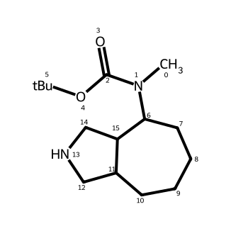 CN(C(=O)OC(C)(C)C)C1CCCCC2CNCC21